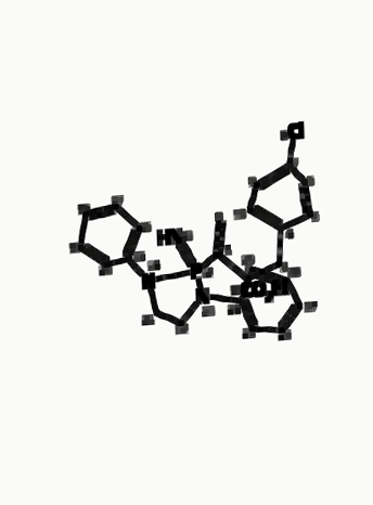 C=C(C(Cc1ccc(Cl)cc1)C(=O)OCC)P1(=N)N(c2ccccc2)CCN1c1ccccc1